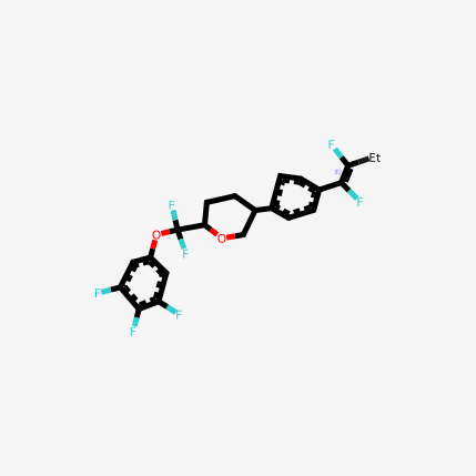 CC/C(F)=C(\F)c1ccc(C2CCC(C(F)(F)Oc3cc(F)c(F)c(F)c3)OC2)cc1